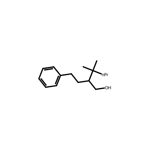 [CH2]C(C)(CCC)C(CO)CCc1ccccc1